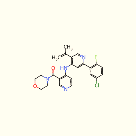 C=C(C)c1cnc(-c2cc(Cl)ccc2F)cc1Nc1ccncc1C(=O)N1CCOCC1